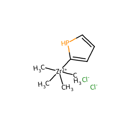 [CH3][Zr+2]([CH3])([CH3])([CH3])[c]1ccc[pH]1.[Cl-].[Cl-]